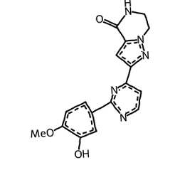 COc1ccc(-c2nccc(-c3cc4n(n3)CCNC4=O)n2)cc1O